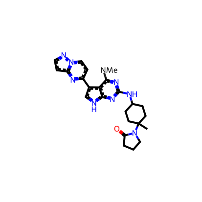 CNc1nc(NC2CCC(C)(N3CCCC3=O)CC2)nc2[nH]cc(-c3ccn4nccc4n3)c12